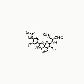 CCC(=O)Nc1ccc(C(=O)NC(C(=O)N(C)C(CC)C(=O)N[C@H](C=O)CC(=O)O)C(C)(C)C)cc1Cl